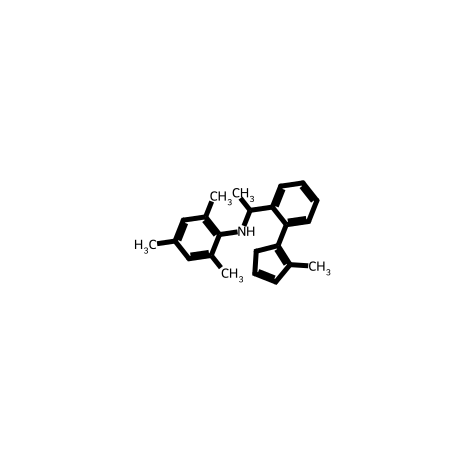 CC1=C(c2ccccc2C(C)Nc2c(C)cc(C)cc2C)CC=C1